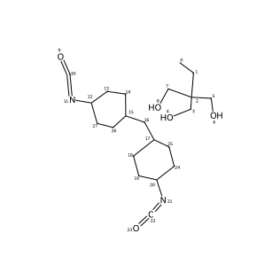 CCC(CO)(CO)CO.O=C=NC1CCC(CC2CCC(N=C=O)CC2)CC1